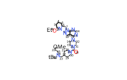 CCOc1cccc(Cn2ncc3c(N4CCN(C(=O)N5CCC(CN(CCOC)C(C)(C)C)CC5)CC4)ncnc32)n1